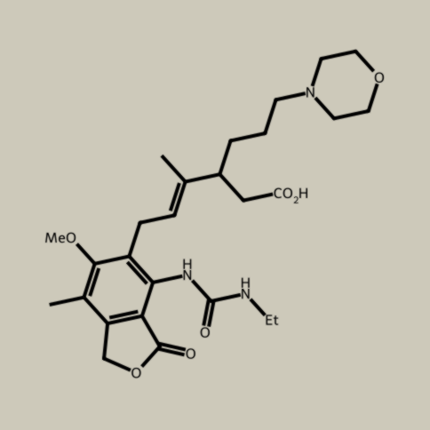 CCNC(=O)Nc1c(C/C=C(\C)C(CCCN2CCOCC2)CC(=O)O)c(OC)c(C)c2c1C(=O)OC2